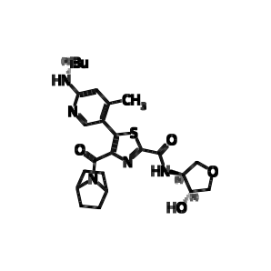 CC[C@@H](C)Nc1cc(C)c(-c2sc(C(=O)N[C@H]3COC[C@@H]3O)nc2C(=O)N2C3CCC2CC3)cn1